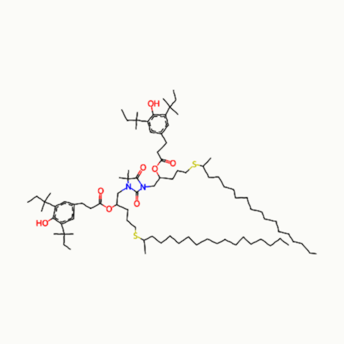 CCCCCCCCCCCCCCCCC(C)SCCCC(CN1C(=O)N(CC(CCCSC(C)CCCCCCCCCCCCCCCC)OC(=O)CCc2cc(C(C)(C)CC)c(O)c(C(C)(C)CC)c2)C(C)(C)C1=O)OC(=O)CCc1cc(C(C)(C)CC)c(O)c(C(C)(C)CC)c1